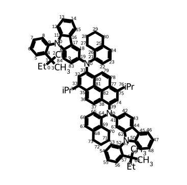 CCC(C)(C)c1ccccc1-n1c2ccccc2c2cc(N(c3cccc4c3CCCC4)c3cc(C(C)C)c4ccc5c(N(c6ccc7c8ccccc8n(-c8ccccc8C(C)(C)CC)c7c6)c6cccc7c6CCCC7)cc(C(C)C)c6ccc3c4c65)ccc21